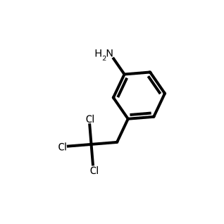 Nc1cccc(CC(Cl)(Cl)Cl)c1